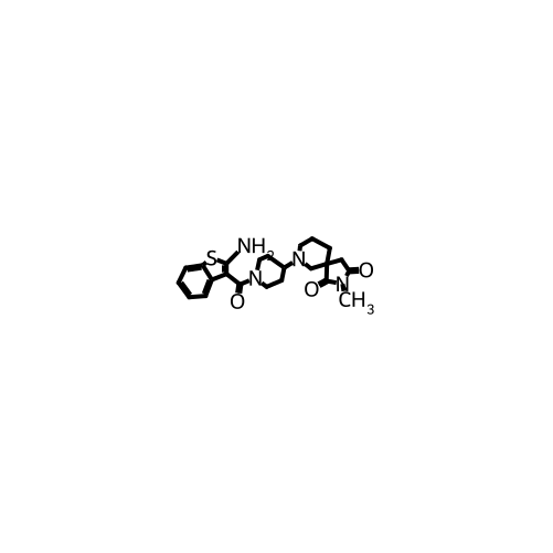 CN1C(=O)CC2(CCCN(C3CCN(C(=O)c4c(N)sc5ccccc45)CC3)C2)C1=O